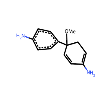 COC1(c2ccc(N)cc2)C=CC(N)=CC1